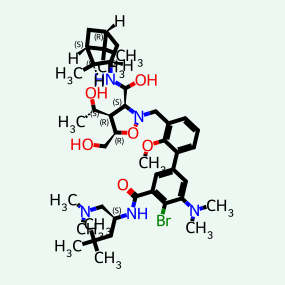 COc1c(CN2O[C@@H](CO)[C@@H]([C@H](C)O)[C@H]2C(O)N[C@H]2C[C@H]3C[C@@H]([C@@H]2C)C3(C)C)cccc1-c1cc(C(=O)N[C@H](CN(C)C)CC(C)(C)C)c(Br)c(N(C)C)c1